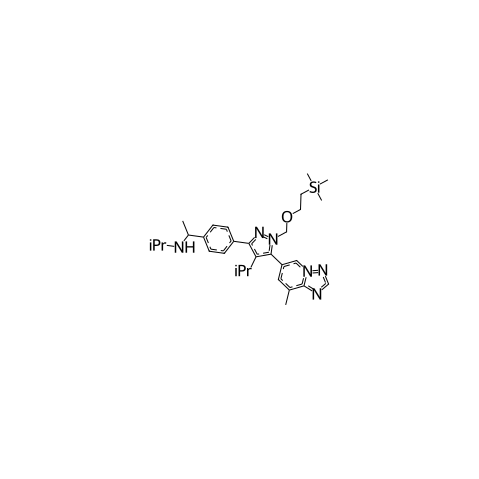 Cc1cc(-c2c(C(C)C)c(-c3ccc(C(C)NC(C)C)cc3)nn2COCC[Si](C)(C)C)cn2ncnc12